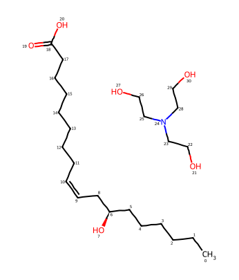 CCCCCC[C@@H](O)C/C=C\CCCCCCCC(=O)O.OCCN(CCO)CCO